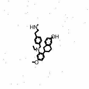 CCN(Cc1ccc(CCNC)cc1)c1cc(OC)ccc1C1CCc2cc(O)ccc2C1